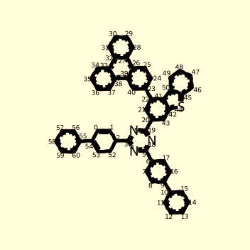 C1=CC(c2nc(-c3ccc(-c4ccccc4)cc3)nc(-c3cc(-c4ccc5c6ccccc6c6ccccc6c5c4)c4c(c3)sc3ccccc34)n2)CC=C1c1ccccc1